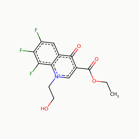 CCOC(=O)c1cn(CCO)c2c(F)c(F)c(F)cc2c1=O